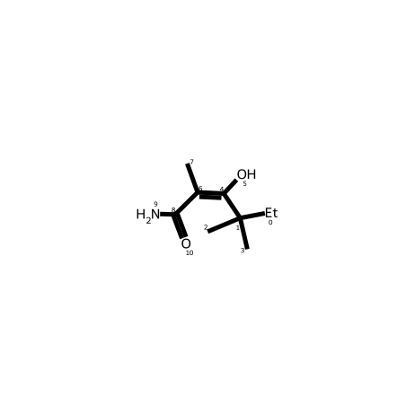 CCC(C)(C)/C(O)=C(/C)C(N)=O